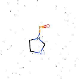 O=PN1CCNC1